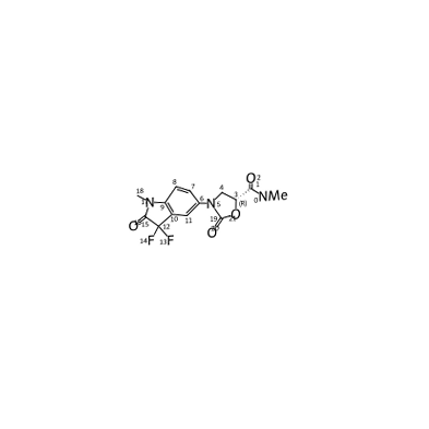 CNC(=O)[C@H]1CN(c2ccc3c(c2)C(F)(F)C(=O)N3C)C(=O)O1